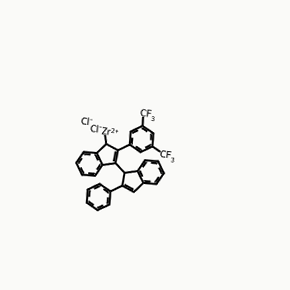 FC(F)(F)c1cc(C2=C(C3C(c4ccccc4)=Cc4ccccc43)c3ccccc3[CH]2[Zr+2])cc(C(F)(F)F)c1.[Cl-].[Cl-]